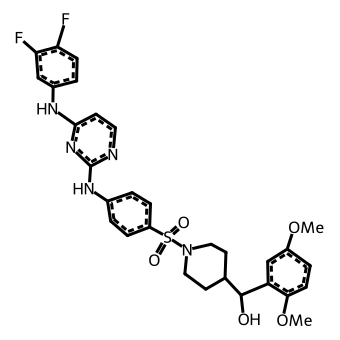 COc1ccc(OC)c(C(O)C2CCN(S(=O)(=O)c3ccc(Nc4nccc(Nc5ccc(F)c(F)c5)n4)cc3)CC2)c1